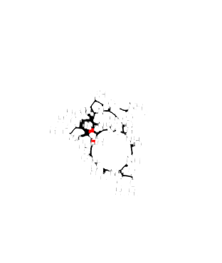 CC[C@H](C)[C@@H]1NC(=O)CNC(=O)[C@H]2Cc3c([nH]c4cc(O)ccc34)SC[C@H](NC(=O)CNC1=O)C(=O)N[C@@H](CC(N)=O)C(=O)N1C[C@H](O)C[C@H]1C(=O)N[C@@H]([C@@H](C)[C@H](C)O)C(=O)N2